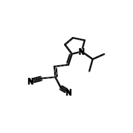 CC(C)N1CCC/C1=C\C=C(C#N)C#N